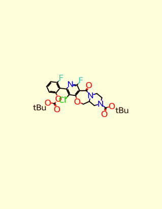 CC(C)(C)OC(=O)Oc1cccc(F)c1-c1nc(F)c2c(c1Cl)OCC1CN(C(=O)OC(C)(C)C)CCN1C2=O